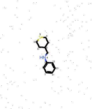 c1ccc(NCC2CCSCC2)cc1